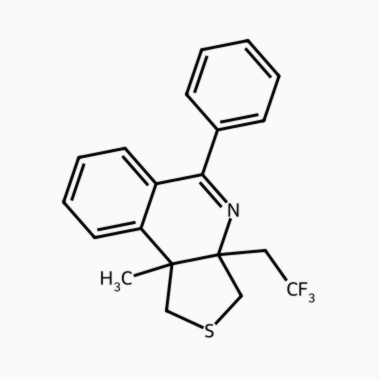 CC12CSCC1(CC(F)(F)F)N=C(c1ccccc1)c1ccccc12